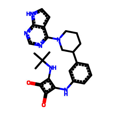 CC(C)(C)Nc1c(Nc2cccc(C3CCCN(c4ncnc5[nH]ccc45)C3)c2)c(=O)c1=O